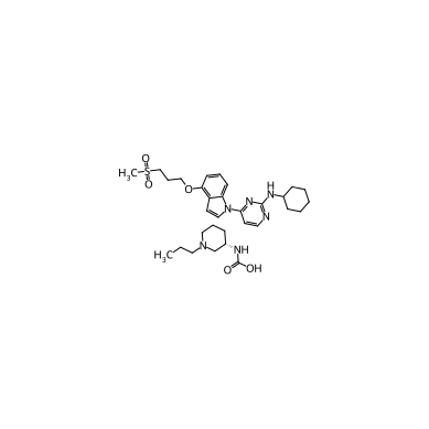 CCCN1CCC[C@H](NC(=O)O)C1.CS(=O)(=O)CCCOc1cccc2c1ccn2-c1ccnc(NC2CCCCC2)n1